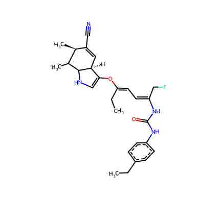 CC/C(=C\C=C(/CF)NC(=O)Nc1ccc(CC)cc1)OC1=CNC2C(C)[C@@H](C)C(C#N)=C[C@@H]12